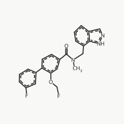 CN(Cc1cccc2cn[nH]c12)C(=O)c1ccc(-c2cccc(F)c2)c(OCF)c1